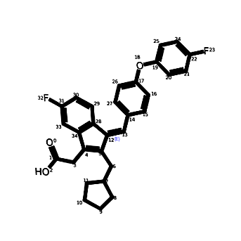 O=C(O)CC1=C(CC2CCCC2)/C(=C/c2ccc(Oc3ccc(F)cc3)cc2)c2ccc(F)cc21